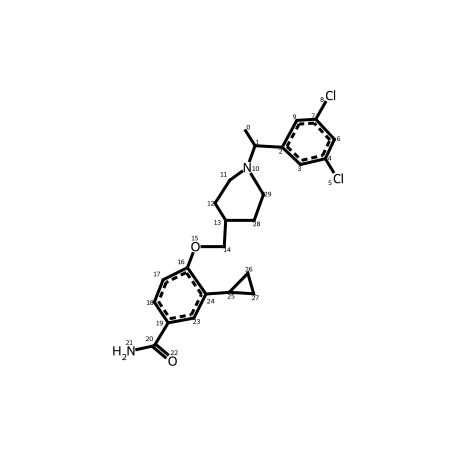 CC(c1cc(Cl)cc(Cl)c1)N1CCC(COc2ccc(C(N)=O)cc2C2CC2)CC1